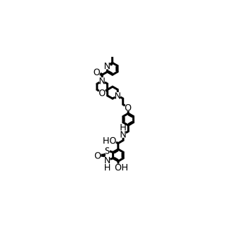 Cc1cccc(C(=O)N2CCOC3(CCN(CCOc4ccc(CNCC(O)c5ccc(O)c6[nH]c(=O)sc56)cc4)CC3)C2)n1